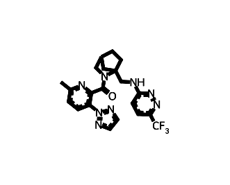 Cc1ccc(-n2nccn2)c(C(=O)N2CC3CCC2(CNc2ccc(C(F)(F)F)nn2)C3)n1